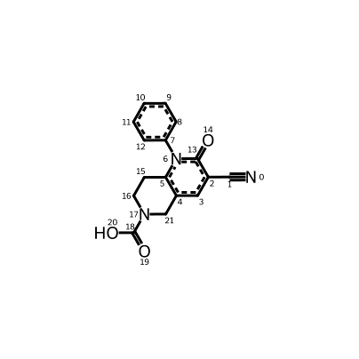 N#Cc1cc2c(n(-c3ccccc3)c1=O)CCN(C(=O)O)C2